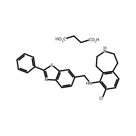 Clc1ccc2c(c1NCc1ccc3nc(-c4ccccc4)sc3c1)CCNCC2.O=C(O)CCC(=O)O